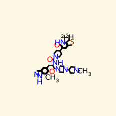 [2H]C1([2H])SCc2cc(C3CCN(C(=O)N[C@H](Cc4cc(C)c5[nH]ncc5c4)C(=O)N4CCN(C5CCN(C)CC5)CC4)CC3)c(=O)[nH]c21